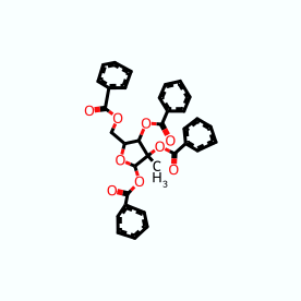 CC1(OC(=O)c2ccccc2)C(OC(=O)c2ccccc2)OC(COC(=O)c2ccccc2)C1OC(=O)c1ccccc1